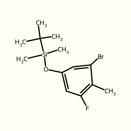 Cc1c(F)cc(O[Si](C)(C)C(C)(C)C)cc1Br